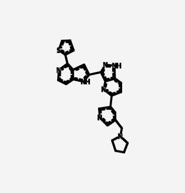 c1csc(-c2nccc3[nH]c(-c4n[nH]c5ccc(-c6cncc(CN7CCCC7)c6)nc45)cc23)c1